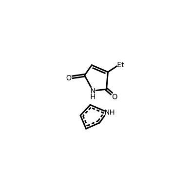 CCC1=CC(=O)NC1=O.c1cc[nH]c1